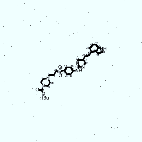 CC(C)(C)OC(=O)N1CCN(CCCS(=O)(=O)c2ccc(Nc3ncc(C=Cc4cccc5[nH]ccc45)cn3)cc2)CC1